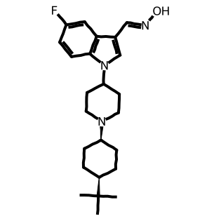 CC(C)(C)[C@H]1CC[C@@H](N2CCC(n3cc(C=NO)c4cc(F)ccc43)CC2)CC1